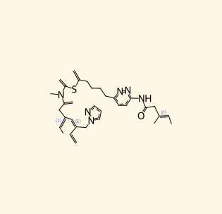 C=C/C(=C\C(=C/C)CC(=C)N(C)C(=C)SC(=C)CCCCc1ccc(NC(=O)C/C(C)=C/C)nn1)Cn1cccn1